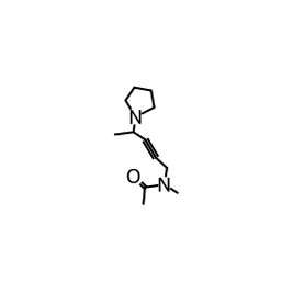 CC(=O)N(C)CC#CC(C)N1CCCC1